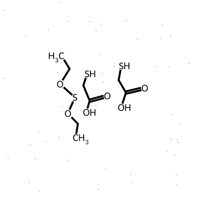 CCOSOCC.O=C(O)CS.O=C(O)CS